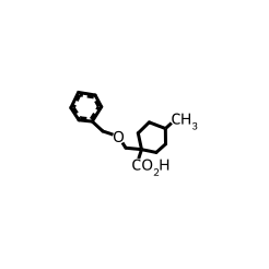 CC1CCC(COCc2ccccc2)(C(=O)O)CC1